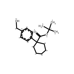 CC(C)(C)OC(=O)C1(c2ccc(CO)cc2)CCCCC1